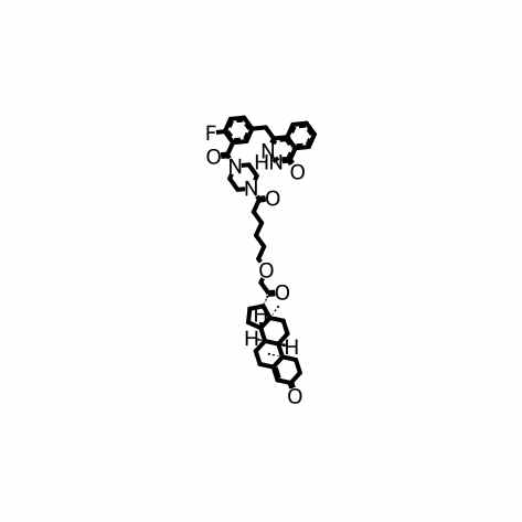 C[C@]12CC[C@H]3[C@@H](CCC4=CC(=O)CC[C@@]43C)[C@@H]1CC[C@@H]2C(=O)COCCCCCC(=O)N1CCN(C(=O)c2cc(Cc3n[nH]c(=O)c4ccccc34)ccc2F)CC1